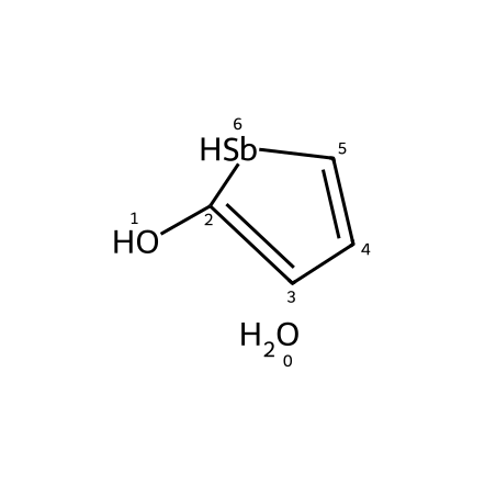 O.O[C]1=CC=[CH][SbH]1